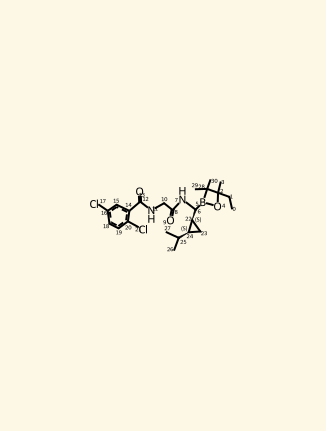 CCC1(C)OB(C(NC(=O)CNC(=O)c2cc(Cl)ccc2Cl)[C@H]2C[C@H]2C(C)C)C1(C)C